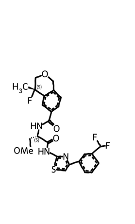 COC[C@H](NC(=O)c1ccc2c(c1)[C@](C)(F)COC2)C(=O)Nc1nc(-c2cccc(C(F)F)c2)cs1